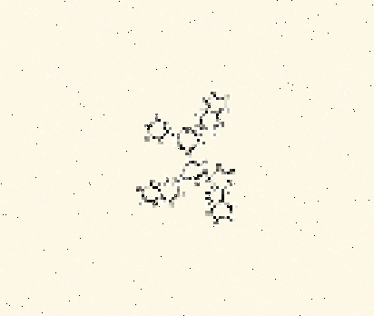 c1ccc(-c2nc(-c3cc(-c4ccc5ccccc5c4)cc(-c4ccnc5c4oc4ccccc45)c3)cc(-c3ccc4ccccc4c3)n2)cc1